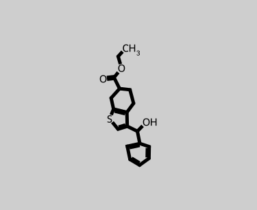 CCOC(=O)C1CCc2c(C(O)c3ccccc3)csc2C1